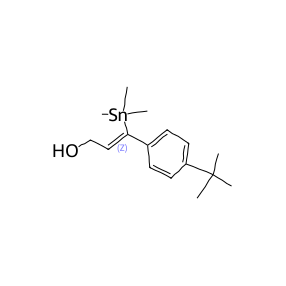 CC(C)(C)c1ccc(/[C](=C/CO)[Sn]([CH3])([CH3])[CH3])cc1